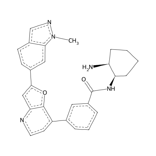 Cn1ncc2ccc(-c3cc4nccc(-c5cccc(C(=O)N[C@@H]6CCCC[C@@H]6N)c5)c4o3)cc21